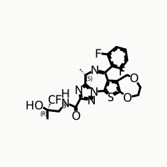 C[C@@H]1N=C(c2c(F)cccc2F)c2c(sc3c2COCCO3)-n2nc(C(=O)NC[C@@](C)(O)C(F)(F)F)nc21